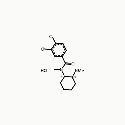 CN[C@H]1CCCC[C@H]1N(C)C(=O)c1ccc(Cl)c(Cl)c1.Cl